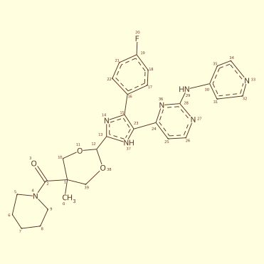 CC1(C(=O)N2CCCCC2)COC(c2nc(-c3ccc(F)cc3)c(-c3ccnc(Nc4ccncc4)n3)[nH]2)OC1